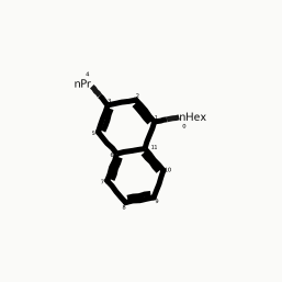 [CH2]CCCCCc1cc(CCC)cc2ccccc12